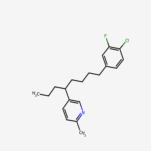 CCCC(CCCCc1ccc(Cl)c(F)c1)c1ccc(C)nc1